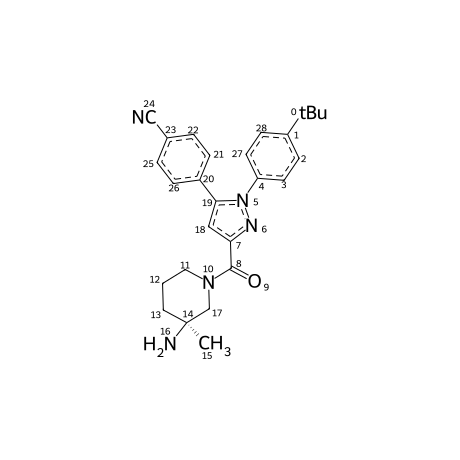 CC(C)(C)c1ccc(-n2nc(C(=O)N3CCC[C@](C)(N)C3)cc2-c2ccc(C#N)cc2)cc1